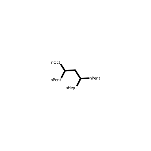 CCCCCCCCC([CH]C(CCCCC)CCCCCCC)CCCCC